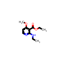 CCNc1nccc(OC)c1C(=O)OCC